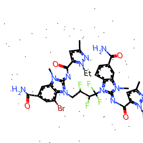 CCn1nc(C)cc1C(=O)/N=c1\n(C)c2cc(C(N)=O)cc(Br)c2n1CC(F)C(F)C(F)(F)n1/c(=N/C(=O)c2cc(C)nn2CC)n(C)c2cc(C(N)=O)ccc21